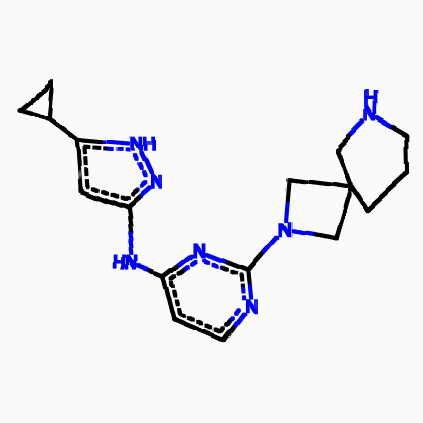 c1cc(Nc2cc(C3CC3)[nH]n2)nc(N2CC3(CCCNC3)C2)n1